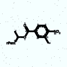 CCCCCC(C)OC(=O)c1ccc([N+](=O)[O-])c(C)c1